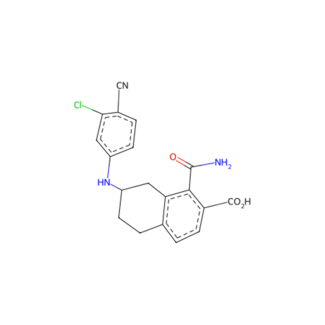 N#Cc1ccc(NC2CCc3ccc(C(=O)O)c(C(N)=O)c3C2)cc1Cl